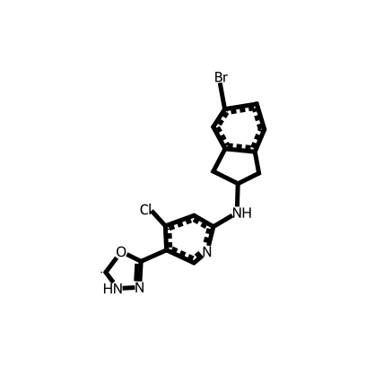 Clc1cc(NC2Cc3ccc(Br)cc3C2)ncc1C1=NN[CH]O1